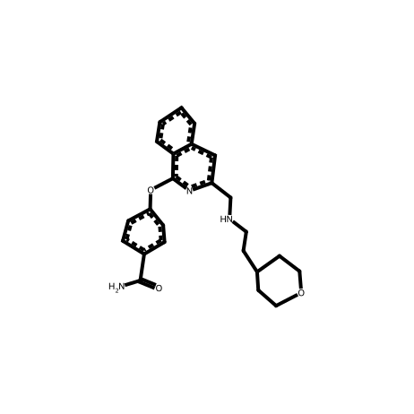 NC(=O)c1ccc(Oc2nc(CNCCC3CCOCC3)cc3ccccc23)cc1